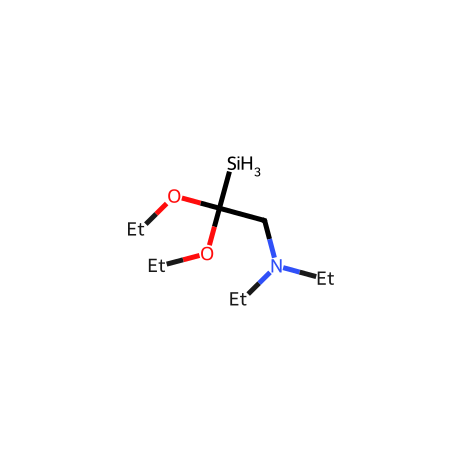 CCOC([SiH3])(CN(CC)CC)OCC